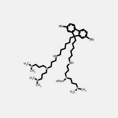 CCCCCN(CCCNCCCCCCC1(CCCCCCNCCCN(CCCN(C)C)CCCN(C)C)c2cc(C(C)(C)C)ccc2-c2ccc(C(C)(C)C)cc21)CCCN(C)C